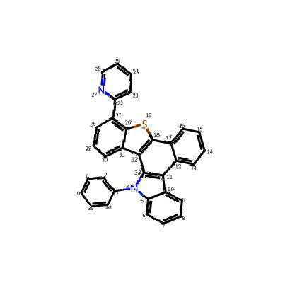 c1ccc(-n2c3ccccc3c3c4ccccc4c4sc5c(-c6ccccn6)cccc5c4c32)cc1